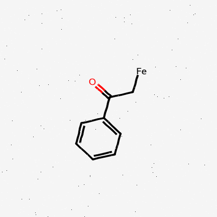 O=C([CH2][Fe])c1ccccc1